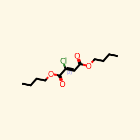 CCCCOC(=O)/C=C(\Cl)C(=O)OCCCC